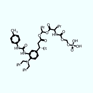 CC[C@@H](CC(=O)OC(OC(=O)C(NC(=O)OCOP(=O)(O)O)C(C)C)C(C)C)c1ccc(N(CC(C)C)CC(C)C)c(NC(=O)Nc2ccc(C)cc2)c1